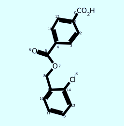 O=C(O)c1ccc(C(=O)OCc2ccccc2Cl)cc1